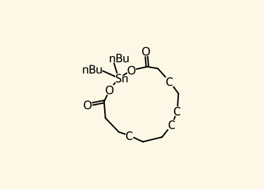 CCC[CH2][Sn]1([CH2]CCC)[O]C(=O)CCCCCCCCCCC(=O)[O]1